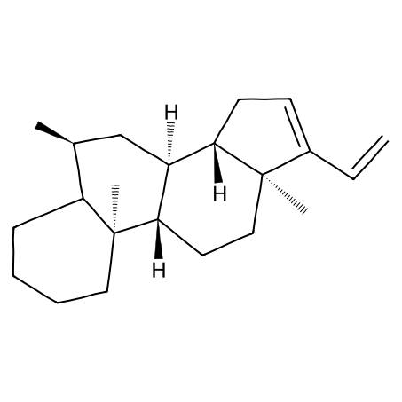 C=CC1=CC[C@H]2[C@@H]3C[C@H](C)C4CCCC[C@]4(C)[C@H]3CC[C@]12C